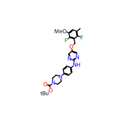 COc1cc(C)c(F)c(COc2cnc(Nc3ccc(N4CCN(C(=O)OC(C)(C)C)CC4)cc3)nc2)c1F